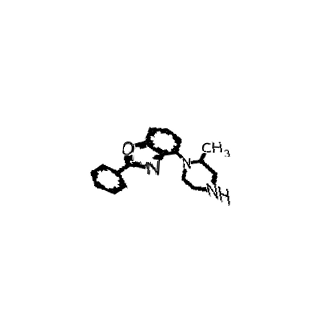 CC1CNCCN1c1cccc2oc(-c3ccccc3)nc12